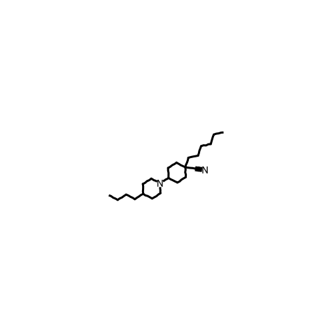 CCCCCCC1(C#N)CCC(N2CCC(CCCC)CC2)CC1